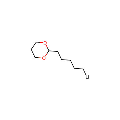 [Li][CH2]CCCCC1OCCCO1